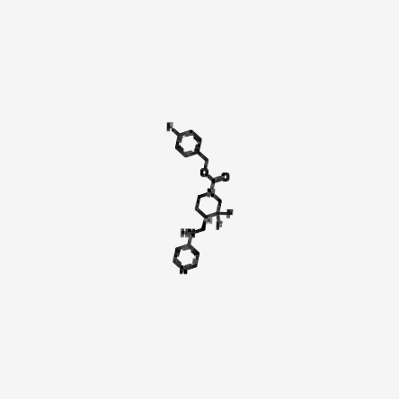 O=C(OCc1ccc(F)cc1)N1CC[C@H](CNc2ccncc2)C(F)(F)C1